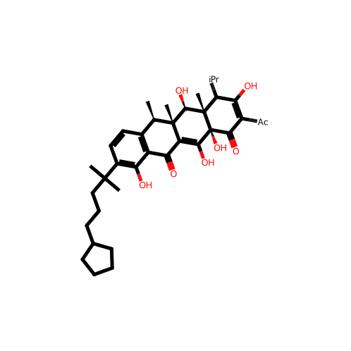 CC(=O)C1=C(O)C(C(C)C)[C@@]2(C)[C@H](O)[C@]3(C)C(=C(O)[C@@]2(O)C1=O)C(=O)c1c(ccc(C(C)(C)CCCC2CCCC2)c1O)[C@H]3C